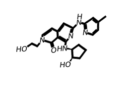 Cc1ccnc(Nc2cc3ccn(CCO)c(=O)c3c(N[C@H]3CCC[C@H]3O)n2)c1